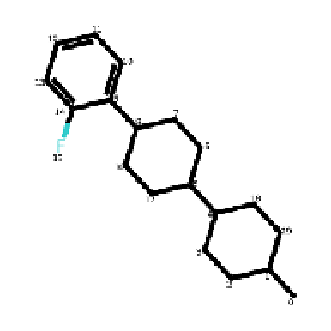 CC1CCC(C2CCC(c3ccccc3F)CC2)CC1